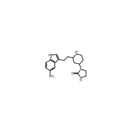 O=C1NCCN1C1CCNC(CCc2c[nH]c3ccc([N+](=O)[O-])cc23)C1